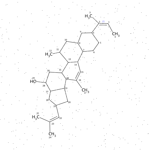 C/C=C(/C)C1CCC2C(C1)CC(C)C1C2C=C(C)C2C3CC(C=C(C)C)CC3C(O)CC21